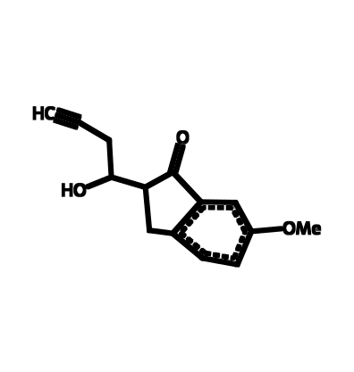 C#CCC(O)C1Cc2ccc(OC)cc2C1=O